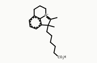 CC1=[N+]2CCCc3cccc(c32)C1(C)CCCCCC(=O)O